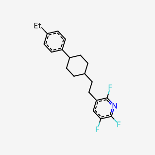 CCc1ccc(C2CCC(CCc3cc(F)c(F)nc3F)CC2)cc1